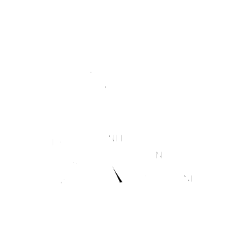 CC(C)(C)OCN[C@@H](Cc1c[nH]cn1)C(=O)O